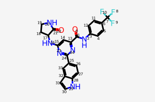 O=C(Nc1ccc(C(F)(F)F)cc1)c1cc(NC2CCNC2=O)nc(-c2ccc3[nH]ccc3c2)n1